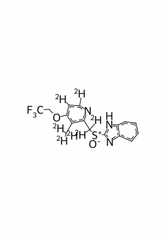 [2H]c1nc(C([2H])([2H])[S+]([O-])c2nc3ccccc3[nH]2)c(C([2H])([2H])[2H])c(OCC(F)(F)F)c1[2H]